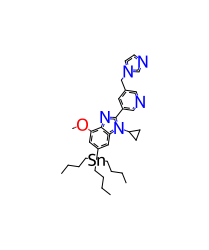 CCC[CH2][Sn]([CH2]CCC)([CH2]CCC)[c]1cc(OC)c2nc(-c3cncc(Cn4ccnc4)c3)n(C3CC3)c2c1